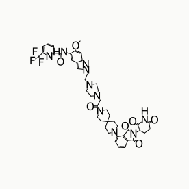 COc1cc2nn(CCN3CCN(CC(=O)N4CCC5(CC4)CCN(c4cccc6c4C(=O)N(C4CCC(=O)NC4=O)C6=O)CC5)CC3)cc2cc1NC(=O)c1cccc(C(F)(F)F)n1